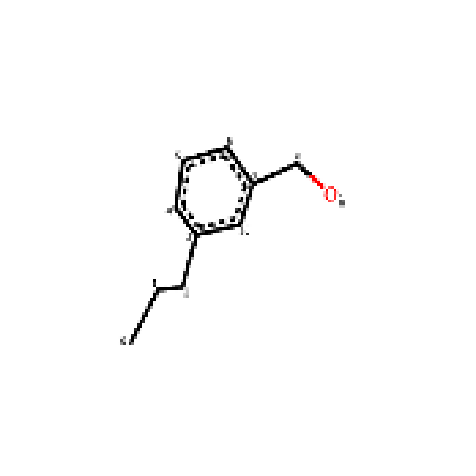 CCCc1cccc(C[O])c1